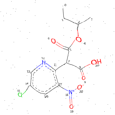 CCC(C)OC(=O)C(C(=O)O)c1ncc(Cl)cc1[N+](=O)[O-]